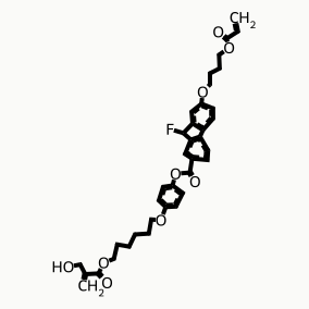 C=CC(=O)OCCCCOc1ccc2c(c1)C(F)c1cc(C(=O)Oc3ccc(OCCCCCCOC(=O)C(=C)CO)cc3)ccc1-2